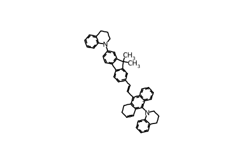 CC1(C)c2cc(/C=C/c3c4c(c(N5CCCc6ccccc65)c5ccccc35)C=CCC4)ccc2-c2ccc(N3CCCc4ccccc43)cc21